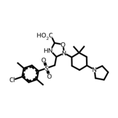 Cc1cc(S(=O)(=O)CC2NC(C(=O)O)ON2C2CCC(N3CCCC3)CC2(C)C)c(C)cc1Cl